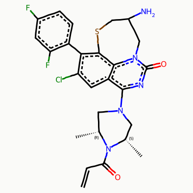 C=CC(=O)N1[C@H](C)CN(c2nc(=O)n3c4c(c(-c5ccc(F)cc5F)c(Cl)cc24)SCC(N)C3)C[C@@H]1C